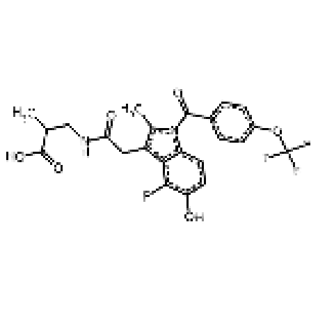 Cc1c(CC(=O)NCC(C)C(=O)O)c2c(F)c(O)ccc2n1C(=O)c1ccc(OC(F)(F)F)cc1